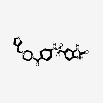 O=C(c1ccc(NS(=O)(=O)c2ccc3[nH]c(=O)[nH]c3c2)cc1)N1CCN(Cc2ccsc2)CC1